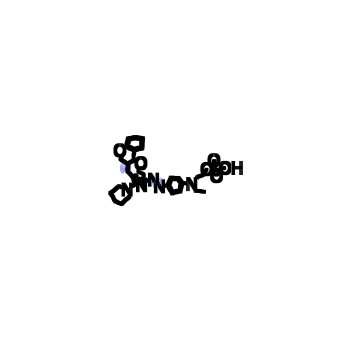 CCN(CCOS(=O)(=O)O)c1ccc(/N=N/c2nc(N3CCCCC3)c(/C=C(/C=O)C(=O)c3ccccc3)s2)cc1